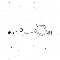 CCC(C)OCc1c[nH]cn1